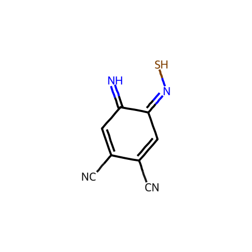 N#CC1=CC(=N)/C(=N\S)C=C1C#N